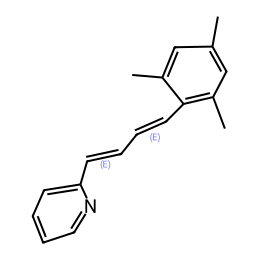 Cc1cc(C)c(/C=C/C=C/c2ccccn2)c(C)c1